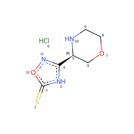 Cl.S=c1[nH]c([C@@H]2COCCN2)no1